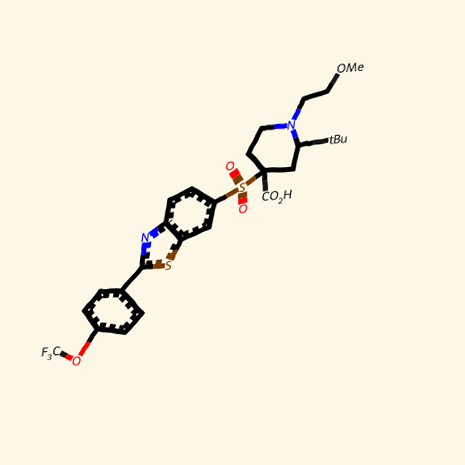 COCCN1CCC(C(=O)O)(S(=O)(=O)c2ccc3nc(-c4ccc(OC(F)(F)F)cc4)sc3c2)CC1C(C)(C)C